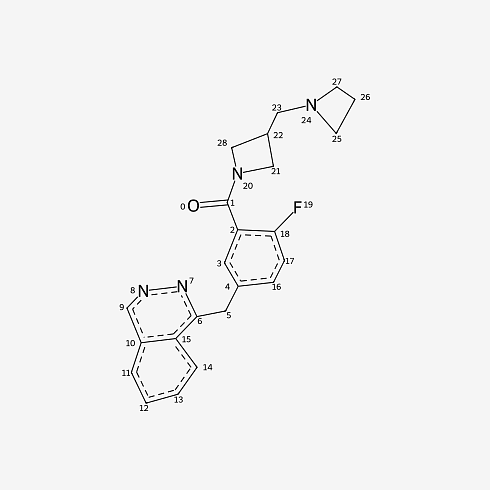 O=C(c1cc(Cc2nncc3ccccc23)ccc1F)N1CC(CN2CCC2)C1